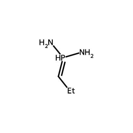 CCC=[PH](N)N